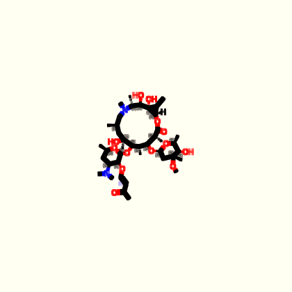 CO[C@]1(C)C[C@H](O[C@H]2[C@H](C)[C@@H](O[C@@H]3O[C@H](C)C[C@H](N(C)C)[C@H]3O/C=C/C(C)=O)[C@@](C)(O)C[C@@H](C)CN(C)[C@H](C)[C@@H](O)[C@@]3(O)C(C)[C@H]3OC(=O)[C@@H]2C)O[C@@H](C)[C@@H]1O